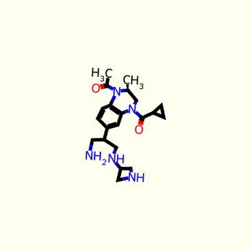 CC(=O)N1c2ccc(C(CN)CNC3CNC3)cc2N(C(=O)C2CC2)C[C@@H]1C